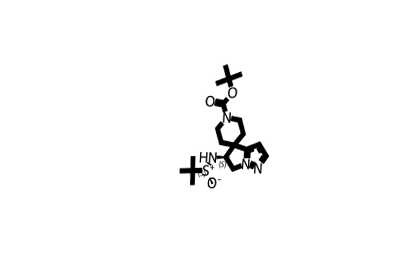 CC(C)(C)OC(=O)N1CCC2(CC1)c1ccnn1C[C@H]2N[S@+]([O-])C(C)(C)C